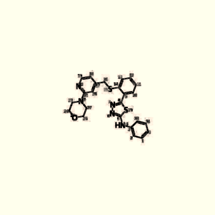 c1ccc(Nc2nnc(-c3ccccc3SCc3ccnc(N4CCOCC4)c3)s2)cc1